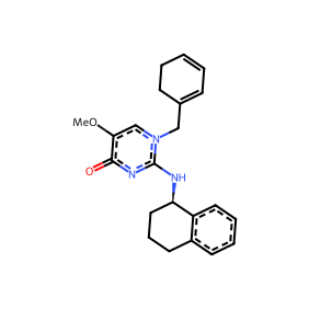 COc1cn(CC2=CC=CCC2)c(N[C@@H]2CCCc3ccccc32)nc1=O